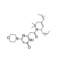 C/C=C\C1=CC(/C=C\C)N(C(=O)Cc2nc(N3CCOCC3)cc(=O)[nH]2)S(C)(C)C1